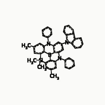 Cc1cc2c3c(c1)[Si](C)(C)c1cc(C)cc4c1B3c1c(cc(-n3c5ccccc5c5ccccc53)cc1N4c1ccccc1)N2c1ccccc1